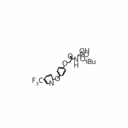 CCC(C)OP(=O)(O)CNC(=O)COc1ccc(Oc2ccc(C(F)(F)F)cn2)cc1